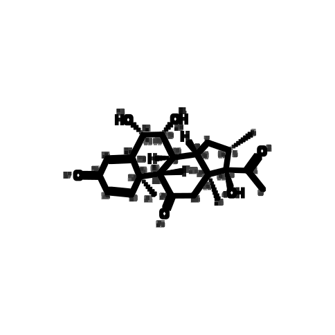 CC(=O)[C@@]1(O)[C@@H](C)C[C@H]2[C@@H]3[C@@H](O)[C@@H](O)C4=CC(=O)C=C[C@]4(C)[C@@]3(F)C(=O)C[C@@]21C